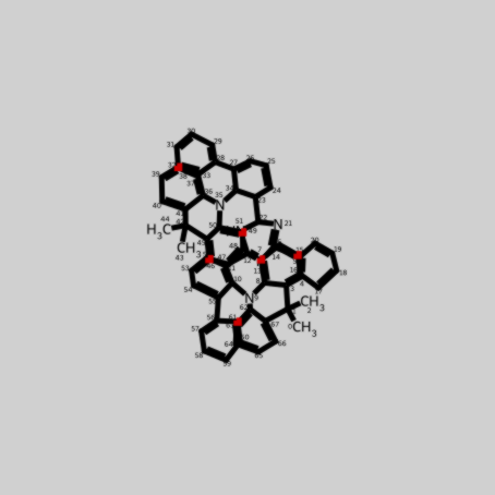 CC1(C)c2ccccc2N(c2c(C3=NC(c4ccccc4)=NC(C4C=CC=C(c5ccccc5)C4N4c5ccccc5C(C)(C)c5ccccc54)N3)cccc2-c2ccccc2)c2ccccc21